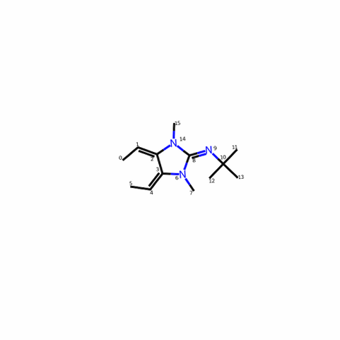 C/C=c1\c(=C/C)n(C)c(=NC(C)(C)C)n1C